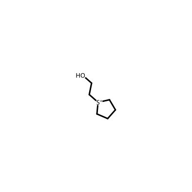 OCC[S+]1CCCC1